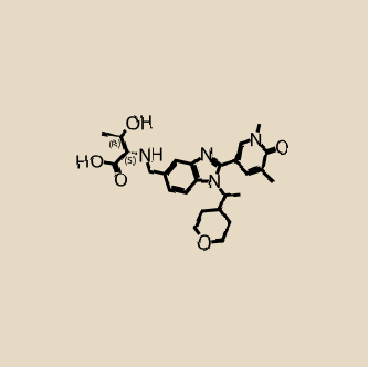 Cc1cc(-c2nc3cc(CN[C@H](C(=O)O)[C@@H](C)O)ccc3n2C(C)C2CCOCC2)cn(C)c1=O